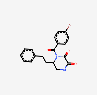 O=C1NCC(CCc2ccccc2)N(C(=O)c2ccc(Br)cc2)C1=O